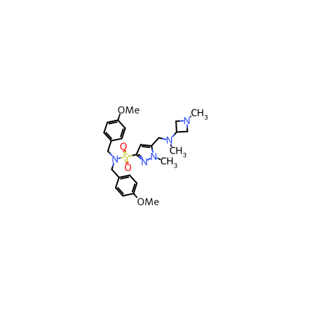 COc1ccc(CN(Cc2ccc(OC)cc2)S(=O)(=O)c2cc(CN(C)C3CN(C)C3)n(C)n2)cc1